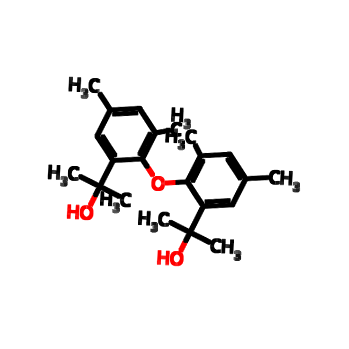 Cc1cc(C)c(Oc2c(C)cc(C)cc2C(C)(C)O)c(C(C)(C)O)c1